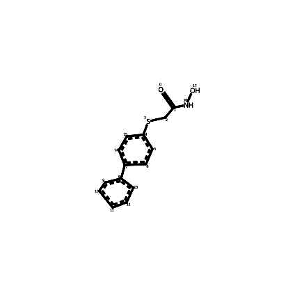 O=C(CSc1ccc(-c2ccccc2)cc1)NO